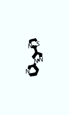 c1cncc(-n2cc(C3=NCCS3)cn2)c1